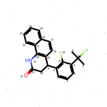 CC(C)(F)c1cccc(C2CC(=O)Nc3c2ccc2ccccc32)c1F